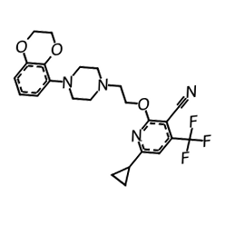 N#Cc1c(C(F)(F)F)cc(C2CC2)nc1OCCN1CCN(c2cccc3c2OCCO3)CC1